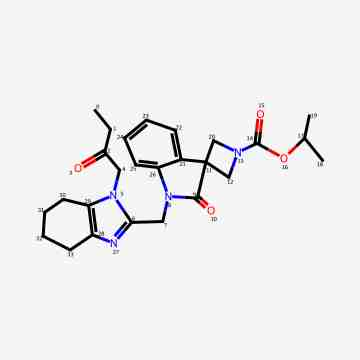 CCC(=O)Cn1c(CN2C(=O)C3(CN(C(=O)OC(C)C)C3)c3ccccc32)nc2c1CCCC2